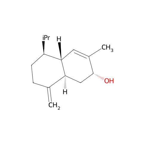 C=C1CC[C@@H](C(C)C)[C@@H]2C=C(C)[C@H](O)C[C@@H]12